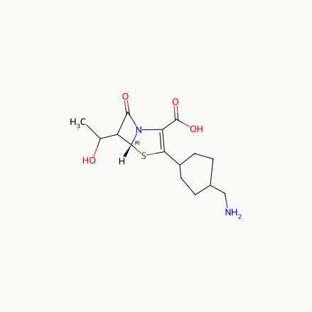 CC(O)C1C(=O)N2C(C(=O)O)=C(C3CCC(CN)CC3)S[C@H]12